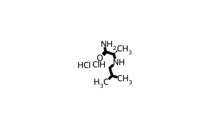 CC(C)CN[C@@H](C)C(N)=O.Cl.Cl